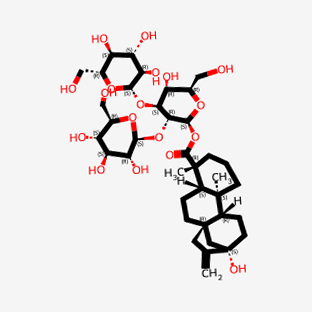 C=C1C[C@@]23CC[C@H]4[C@@](C)(CCC[C@@]4(C)C(=O)O[C@@H]4O[C@H](CO)[C@@H](O)[C@H](O[C@@H]5O[C@H](CO)[C@@H](O)[C@H](O)[C@H]5O)[C@H]4O[C@@H]4O[C@H](CO)[C@@H](O)[C@H](O)[C@H]4O)[C@@H]2CC[C@]1(O)C3